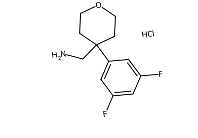 Cl.NCC1(c2cc(F)cc(F)c2)CCOCC1